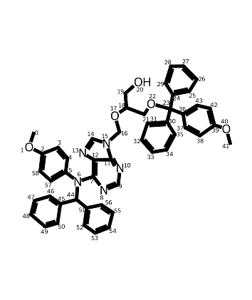 COc1ccc(N(c2ncnc3c2ncn3COC(CO)COC(c2ccccc2)(c2ccccc2)c2ccc(OC)cc2)C(c2ccccc2)c2ccccc2)cc1